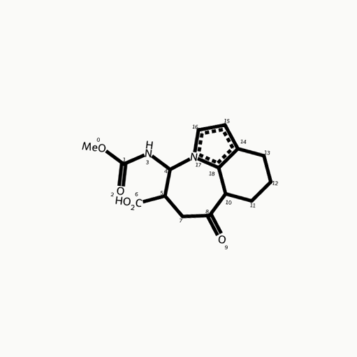 COC(=O)NC1C(C(=O)O)CC(=O)C2CCCc3ccn1c32